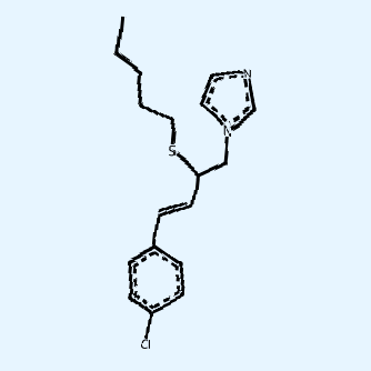 CCCCCSC(C=Cc1ccc(Cl)cc1)Cn1ccnc1